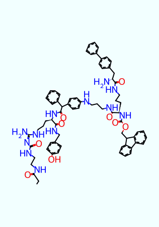 CCC(=O)NCCNC(=O)/N=C(/N)NCCC[C@@H](NC(=O)C(c1ccccc1)c1ccc(NCCCNC(=O)[C@@H](CCCNC(=O)[C@H](N)Cc2ccc(-c3ccccc3)cc2)NC(=O)OCC2c3ccccc3-c3ccccc32)cc1)C(=O)NCc1ccc(O)cc1